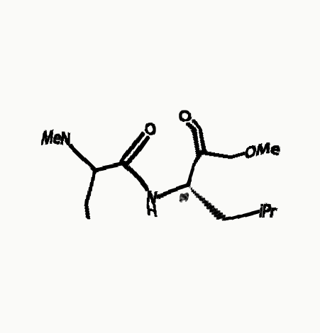 CNC(C)C(=O)N[C@@H](CC(C)C)C(=O)OC